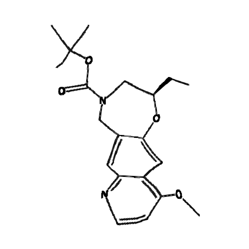 CC[C@@H]1CN(C(=O)OC(C)(C)C)Cc2cc3nccc(OC)c3cc2O1